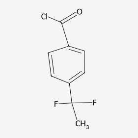 CC(F)(F)c1ccc(C(=O)Cl)cc1